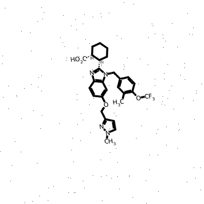 Cc1cc(Cn2c([C@H]3CCCC[C@H]3C(=O)O)nc3ccc(OCc4ccn(C)n4)cc32)ccc1OC(F)(F)F